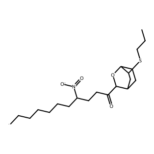 [CH2]CCCCCCC(CCC(=O)[C]1OC2CCC1CC2SCCC)[N+](=O)[O-]